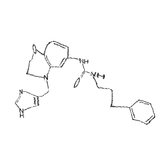 O=C(NCCCc1ccccc1)Nc1ccc2c(c1)N(Cc1c[nH]cn1)CCO2